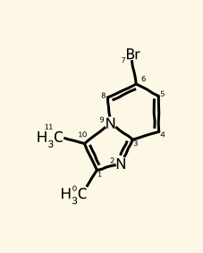 Cc1nc2ccc(Br)cn2c1C